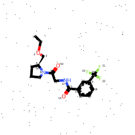 CCOC[C@@H]1CCCN1C(=O)CNC(=O)c1cccc(C(F)(F)F)c1